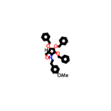 COc1ccc(CCN2OC[C@H]3C(OCc4ccccc4)C(OCc4ccccc4)C(OCc4ccccc4)C32)cc1